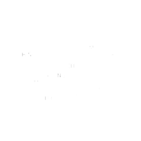 CC(Cc1ccc2c(c1)OCS2)N(C)C(=O)CN